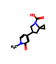 Cn1ccc(C2CN(C(=O)O)C3(CC3)C2)cc1=O